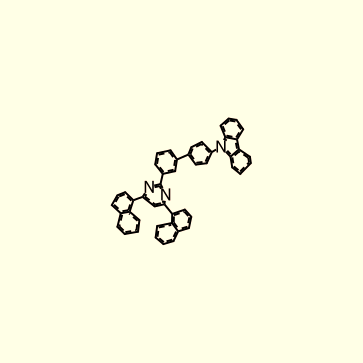 c1cc(-c2ccc(-n3c4ccccc4c4ccccc43)cc2)cc(-c2nc(-c3cccc4ccccc34)cc(-c3cccc4ccccc34)n2)c1